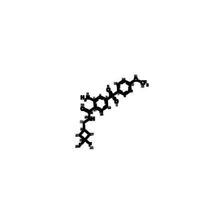 Nc1cc(S(=O)(=O)c2ccc(OC(F)(F)F)cc2)cnc1C(=O)NCC1CC(F)(F)C1